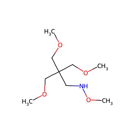 COCC(CNOC)(COC)COC